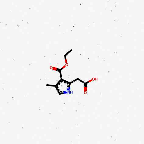 CCOC(=O)c1c(C)c[nH]c1CC(=O)O